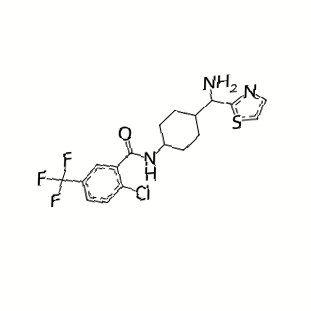 NC(c1nccs1)C1CCC(NC(=O)c2cc(C(F)(F)F)ccc2Cl)CC1